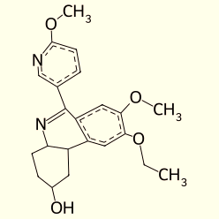 CCOc1cc2c(cc1OC)C(c1ccc(OC)nc1)=NC1CCC(O)CC21